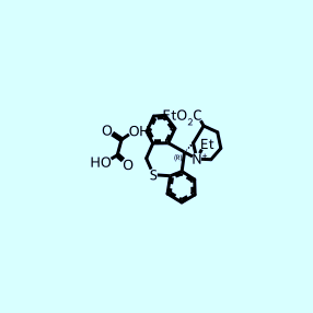 CCOC(=O)C1CCC[N+]2(CC)C1[C@]21c2ccccc2CSc2ccccc21.O=C(O)C(=O)O